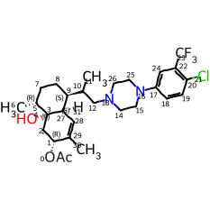 CC(=O)O[C@@H]1[CH][C@@]2(O)[C@H](C)CC[C@@H](C(C)CN3CCN(c4ccc(Cl)c(C(F)(F)F)c4)CC3)[C@H]2C=C1C